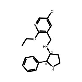 CCOc1ncc(Cl)cc1CN[C@H]1CCN[C@H]1c1ccccc1